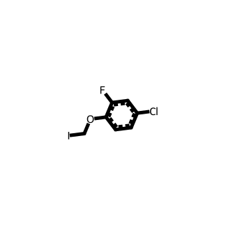 Fc1cc(Cl)ccc1OCI